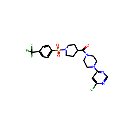 O=C(C1CCN(S(=O)(=O)c2ccc(C(F)(F)F)cc2)CC1)N1CCN(c2cc(Cl)ncn2)CC1